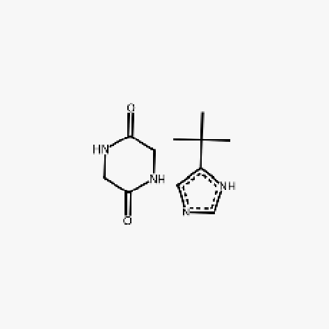 CC(C)(C)c1cnc[nH]1.O=C1CNC(=O)CN1